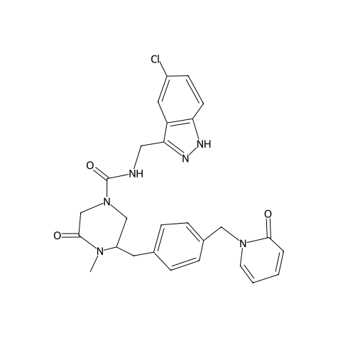 CN1C(=O)CN(C(=O)NCc2n[nH]c3ccc(Cl)cc23)CC1Cc1ccc(Cn2ccccc2=O)cc1